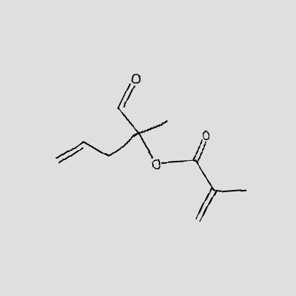 C=CCC(C)(C=O)OC(=O)C(=C)C